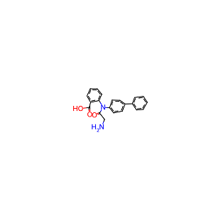 NCC(=O)N(c1ccc(-c2ccccc2)cc1)c1ccccc1C(=O)O